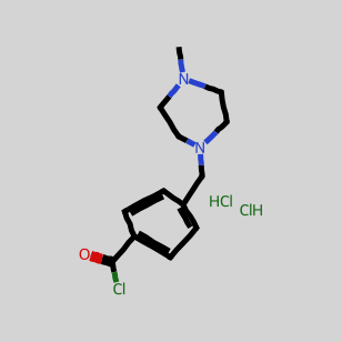 CN1CCN(Cc2ccc(C(=O)Cl)cc2)CC1.Cl.Cl